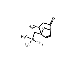 CC1CC(=O)C2C=CC1(C[Si](C)(C)C)O2